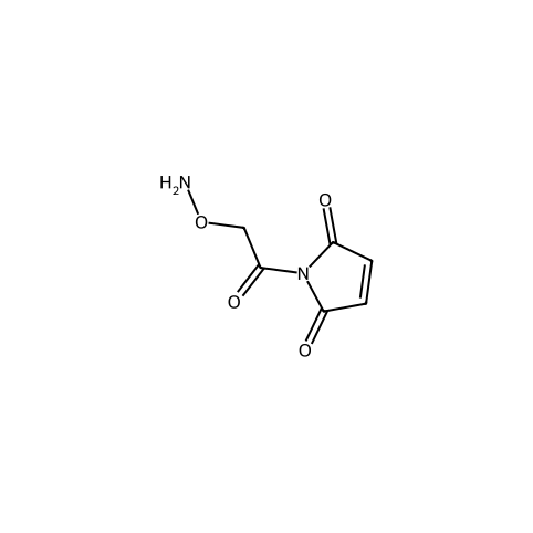 NOCC(=O)N1C(=O)C=CC1=O